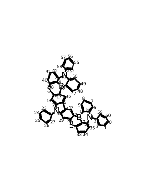 c1ccc(N2c3ccccc3B3c4cc5c6cc7c(cc6n(-c6ccccc6)c5cc4Sc4cccc2c43)Sc2cccc3c2B7c2ccccc2N3c2ccccc2)cc1